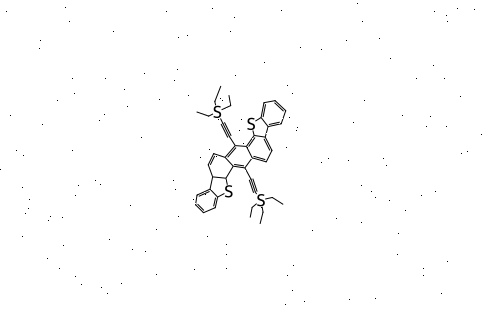 CCS(C#Cc1c2c(c(C#CS(CC)(CC)CC)c3c1ccc1c4ccccc4sc13)C=CC1c3ccccc3SC21)(CC)CC